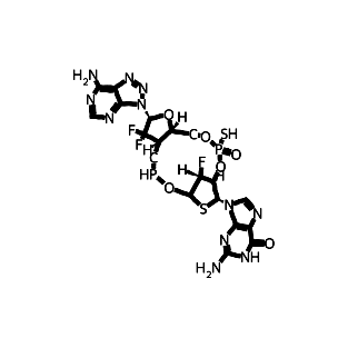 Nc1nc2c(ncn2[C@@H]2SC3OPC[C@@H]4[C@@H](COP(=O)(S)O[C@@H]2[C@H]3F)O[C@@H](n2nnc3c(N)ncnc32)C4(F)F)c(=O)[nH]1